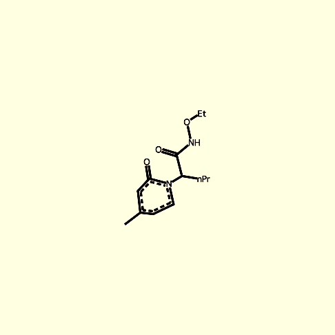 CCCC(C(=O)NOCC)n1ccc(C)cc1=O